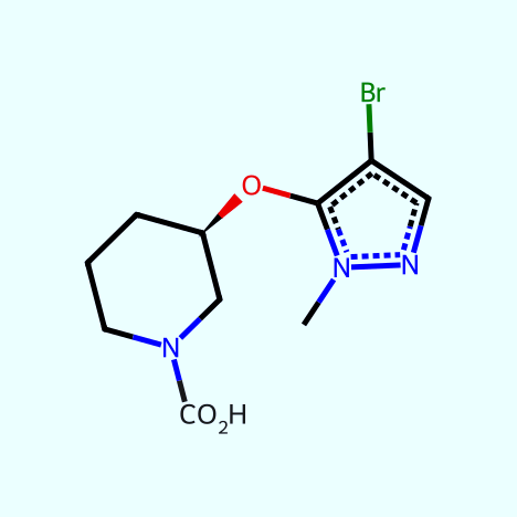 Cn1ncc(Br)c1O[C@@H]1CCCN(C(=O)O)C1